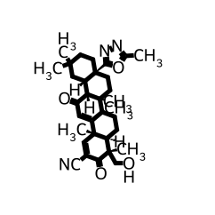 Cc1nnc([C@]23CCC(C)(C)C[C@H]2[C@H]2C(=O)C=C4[C@@]5(C)C=C(C#N)C(=O)[C@@](C)(CO)[C@@H]5CC[C@@]4(C)[C@]2(C)CC3)o1